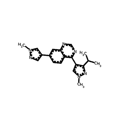 CC(C)c1nn(C)cc1-c1ncnc2cc(-c3cnn(C)c3)ccc12